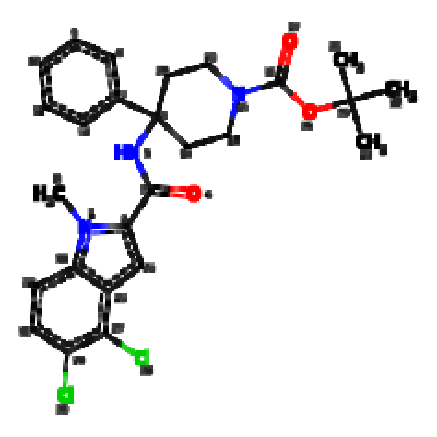 Cn1c(C(=O)NC2(c3ccccc3)CCN(C(=O)OC(C)(C)C)CC2)cc2c(Cl)c(Cl)ccc21